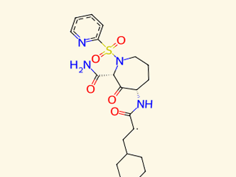 NC(=O)[C@H]1C(=O)[C@@H](NC(=O)[CH]CC2CCCCC2)CCCN1S(=O)(=O)c1ccccn1